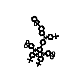 CC(C)(C)c1ccc(N(c2ccc(-c3cc4c5c(c3)N(c3ccc6c(c3)OCO6)c3ccc(C(C)(C)C)cc3B5c3cc(C(C)(C)C)ccc3N4c3ccc4c(c3)OCO4)cc2)c2ccc3cc(-c4cc5ccccc5o4)ccc3c2)cc1